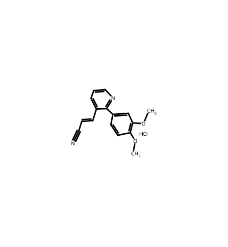 COc1ccc(-c2ncccc2C=CC#N)cc1OC.Cl